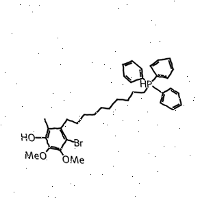 COc1c(O)c(C)c(CCCCCCCCCC[PH](c2ccccc2)(c2ccccc2)c2ccccc2)c(Br)c1OC